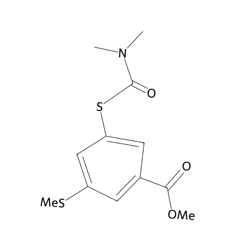 COC(=O)c1cc(SC)cc(SC(=O)N(C)C)c1